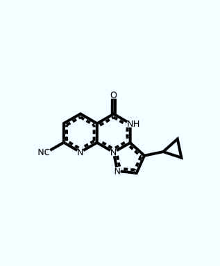 N#Cc1ccc2c(=O)[nH]c3c(C4CC4)cnn3c2n1